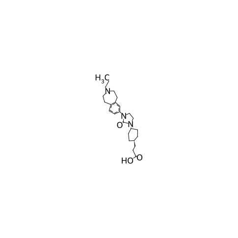 CCCN1CCc2ccc(N3CCN([C@H]4CC[C@H](CCC(=O)O)CC4)C3=O)cc2CC1